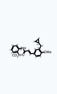 COc1ccc(C=CC(=O)Nc2ccccc2C(=O)O)cc1CC1CC1